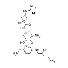 N=C(N)NC1CC(O)(C(=O)N[C@H]2C[C@@H](O)C(O[C@H]3OC(CN)=CC[C@H]3NCC(O)CCN)[C@@H](N)C2)C1